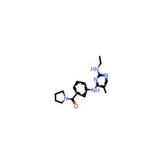 CCNc1ncc(C)c(Nc2cccc(C(=O)N3CCCC3)c2)n1